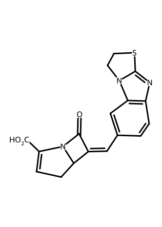 O=C(O)C1=CCC2C(=Cc3ccc4nc5n(c4c3)CCS5)C(=O)N12